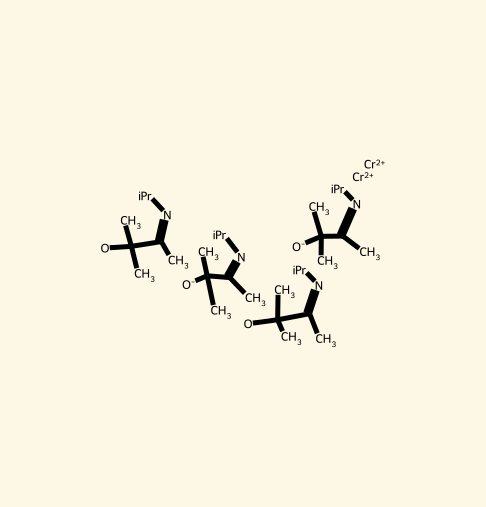 CC(=NC(C)C)C(C)(C)[O-].CC(=NC(C)C)C(C)(C)[O-].CC(=NC(C)C)C(C)(C)[O-].CC(=NC(C)C)C(C)(C)[O-].[Cr+2].[Cr+2]